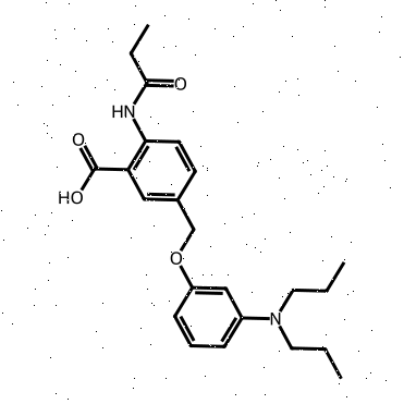 CCCN(CCC)c1cccc(OCc2ccc(NC(=O)CC)c(C(=O)O)c2)c1